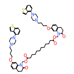 O=C(CCCCCCCCCCC(=O)OCN1C(=O)CCc2ccc(OCCCCN3CCN(c4cccc5sccc45)CC3)cc21)OCN1C(=O)CCc2ccc(OCCCCN3CCN(c4cccc5sccc45)CC3)cc21